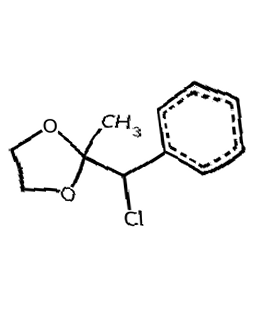 CC1(C(Cl)c2ccccc2)OCCO1